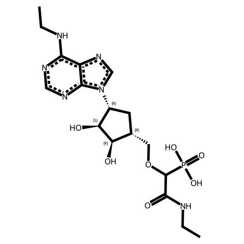 CCNC(=O)C(OC[C@H]1C[C@@H](n2cnc3c(NCC)ncnc32)[C@H](O)[C@@H]1O)P(=O)(O)O